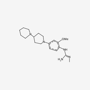 C/N=C(\N)Nc1ccc(N2CCC(N3CCCCC3)CC2)cc1OC